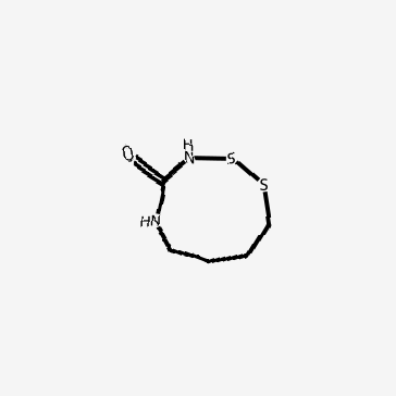 O=C1NCCCCSSN1